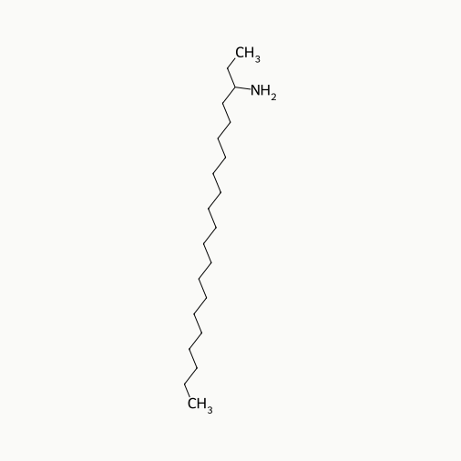 CCCCCCCCCCCCCCCCCCC(N)CC